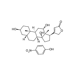 C[C@]12CC[C@H](O)C[C@H]1CC[C@@H]1[C@@H]2C[C@@H](O)[C@]2(C)[C@@H](C3=CC(=O)OC3)CC[C@]12O.O=[N+]([O-])c1ccc(O)cc1